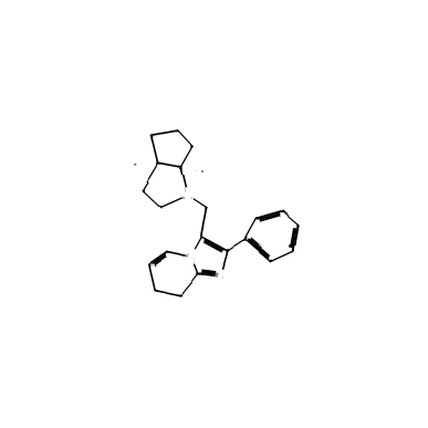 C1=Cn2c(nc(-c3ccccc3)c2CN2CC[C@H]3CCC[C@H]32)CC1